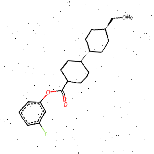 COC[C@H]1CC[C@H](C2CCC(C(=O)Oc3cccc(F)c3)CC2)CC1